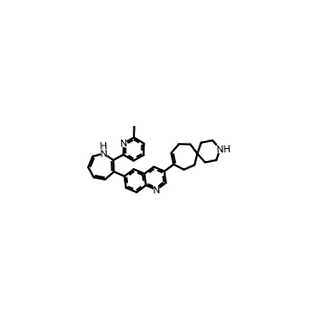 Cc1cccc(C2=C(c3ccc4ncc(C5=CCCC6(CCNCC6)CC5)cc4c3)C=CC=CN2)n1